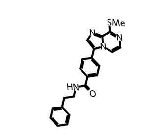 CSc1nccn2c(-c3ccc(C(=O)NCCc4ccccc4)cc3)cnc12